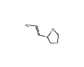 CC(=O)C=CC1CCCO1